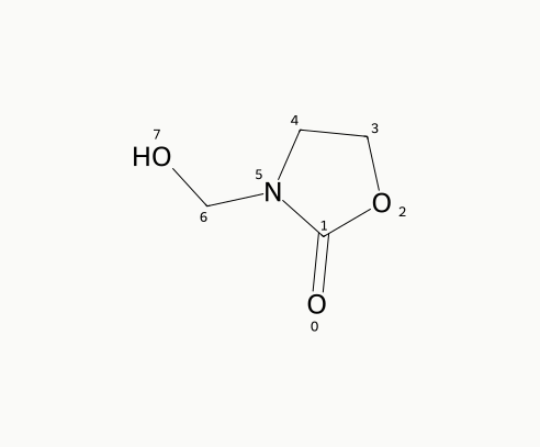 O=C1OCCN1CO